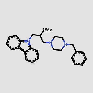 COC(CN1CCN(Cc2ccccc2)CC1)Cn1c2ccccc2c2ccccc21